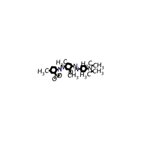 COc1cc(/N=N/c2ccc(C)cc2[N+](=O)[O-])c(C)cc1/N=N/c1ccc(N(C(C)C)C(C)C)cc1